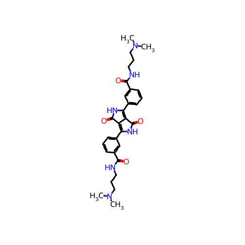 CN(C)CCCNC(=O)c1cccc(C2=C3C(=O)NC(c4cccc(C(=O)NCCCN(C)C)c4)=C3C(=O)N2)c1